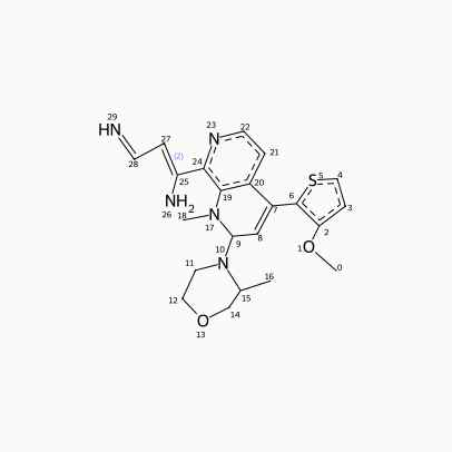 COc1ccsc1C1=CC(N2CCOCC2C)N(C)c2c1ccnc2/C(N)=C/C=N